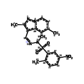 Cc1ccn2nc(C)c(/C=N\N(C)S(=O)(=O)c3cc([N+](=O)[O-])ccc3C)c2c1